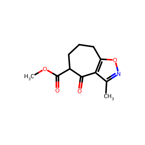 COC(=O)C1CCCc2onc(C)c2C1=O